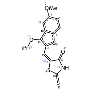 COc1ccc2sc(/C=C3/SC(=S)NC3=O)c(OC(C)C)c2c1